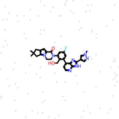 Cn1cc(-c2nc3c(-c4cc(F)cc(N5CCn6c(cc7c6CC(C)(C)C7)C5=O)c4CO)ccnc3[nH]2)cn1